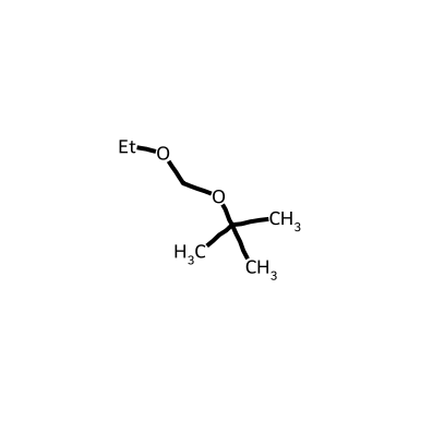 CCOCOC(C)(C)C